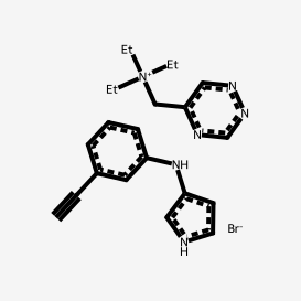 C#Cc1cccc(Nc2cc[nH]c2)c1.CC[N+](CC)(CC)Cc1cnncn1.[Br-]